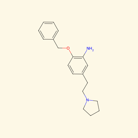 Nc1cc(CCN2CCCC2)ccc1OCc1ccccc1